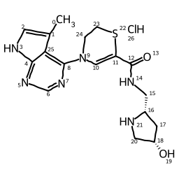 Cc1c[nH]c2ncnc(N3C=C(C(=O)NC[C@@H]4C[C@H](O)CN4)SCC3)c12.Cl